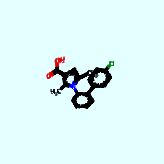 Cc1cc(C(=O)O)c(C)n1-c1ccccc1-c1ccc(Cl)cc1